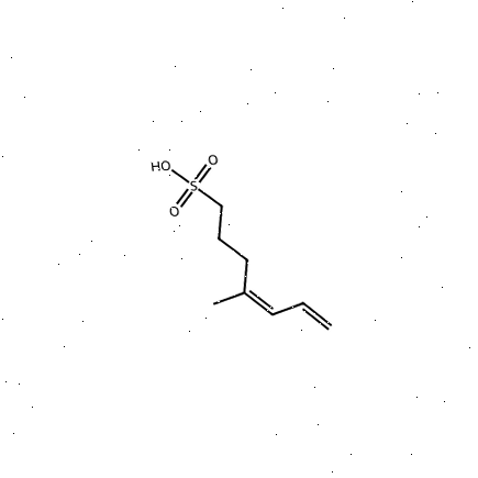 C=C/C=C(/C)CCCS(=O)(=O)O